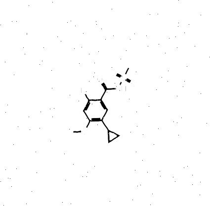 COc1cc(F)c(C(=O)NS(C)(=O)=O)cc1C1CC1